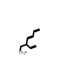 C=CC=C[C](C=C)CC(=O)O